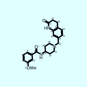 COc1cccc(C(=O)NC2CCN(Cc3ccc4c(c3)NC(=O)CC4)CC2)c1